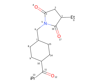 CCC1CC(=O)N(CC2CCC(C(=O)C(C)C)CC2)C1=O